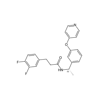 C[C@H](NC(=O)CCc1ccc(F)c(F)c1)c1cccc(Oc2ccncc2)c1